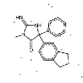 CN1C(=N)NC(c2ccccc2)(c2ccc3c(c2)CCC3)C1=O